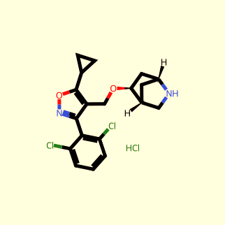 Cl.Clc1cccc(Cl)c1-c1noc(C2CC2)c1CO[C@H]1C[C@H]2C[C@@H]1CN2